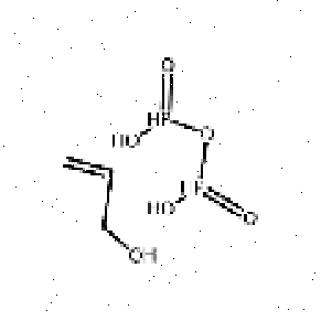 C=CCO.O=[PH](O)O[PH](=O)O